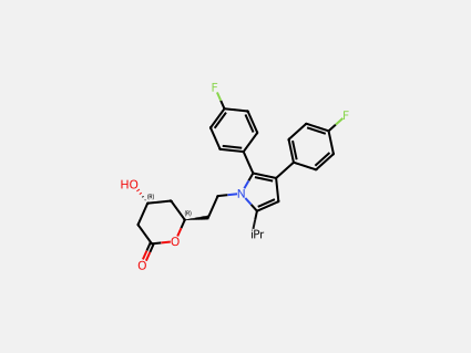 CC(C)c1cc(-c2ccc(F)cc2)c(-c2ccc(F)cc2)n1CC[C@@H]1C[C@@H](O)CC(=O)O1